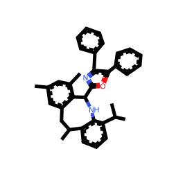 Cc1cc(C)c2c(c1)CC(C)c1cccc(C(C)C)c1NC2c1nc(-c2ccccc2)c(-c2ccccc2)o1